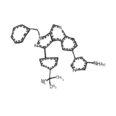 CC(=O)Nc1cncc(-c2ccc3ncc4c(c(-c5ccc(C(C)(C)C#N)cc5)nn4Cc4ccccc4)c3c2)c1